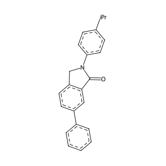 CC(C)c1ccc(N2Cc3ccc(-c4ccccc4)cc3C2=O)cc1